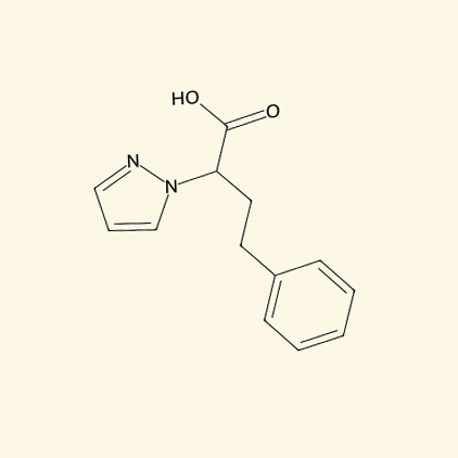 O=C(O)C(CCc1ccccc1)n1cccn1